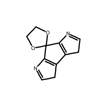 C1=NC2=C(C1)C1=C(N=CC1)C21OCCO1